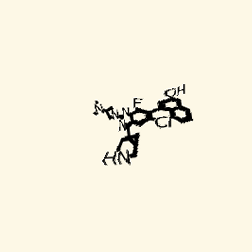 CN(C)C1CN(c2nc(C34CCNCC3C4)c3cc(Cl)c(-c4cc(O)cc5ccccc45)c(F)c3n2)C1